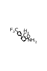 Cc1c(C(N)=O)cccc1-c1ccc(C(F)(F)F)cc1